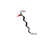 CCCCCCC/C=C/C=C/C(=O)OC